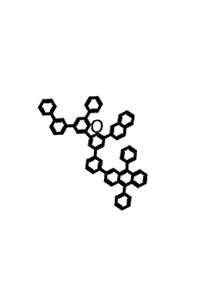 c1ccc(-c2cccc(-c3cc(-c4ccccc4)c4oc5c(-c6ccc7ccccc7c6)cc(-c6cccc(-c7ccc8c(-c9ccccc9)c9ccccc9c(-c9ccccc9)c8c7)c6)cc5c4c3)c2)cc1